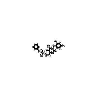 O=C(OCc1ccccc1)N1CCc2nc(Cl)n(Cc3ccc(F)cc3F)c(=O)c2C1